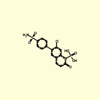 NS(=O)(=O)c1ccc(-c2cc3c[c]c(=O)n(P(=O)(O)O)c3cc2Cl)cc1